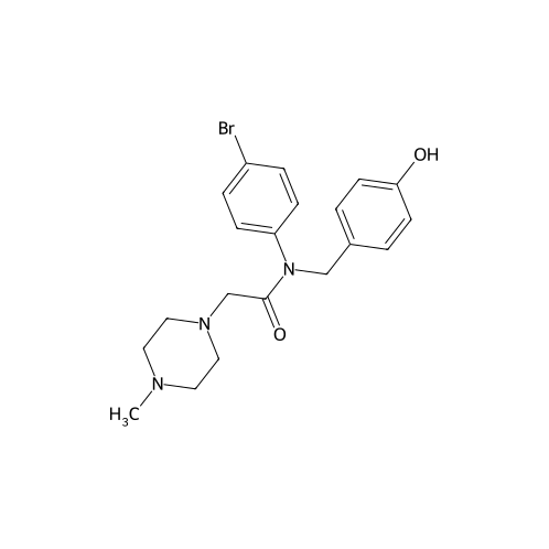 CN1CCN(CC(=O)N(Cc2ccc(O)cc2)c2ccc(Br)cc2)CC1